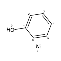 Oc1ccccc1.[Ni]